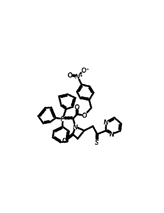 O=C(OCc1ccc([N+](=O)[O-])cc1)C(N1C(=O)CC1CC(=S)c1ncccn1)=P(c1ccccc1)(c1ccccc1)c1ccccc1